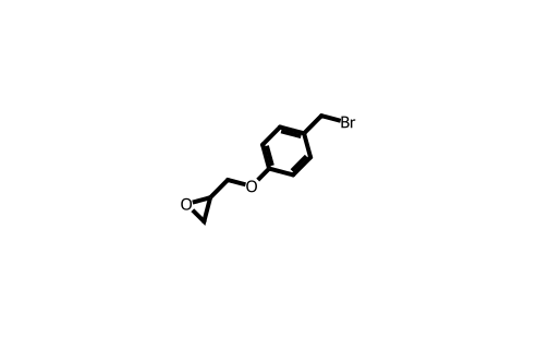 BrCc1ccc(OCC2CO2)cc1